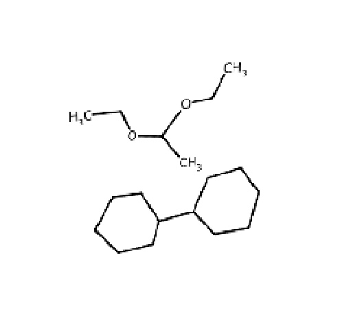 C1CCC(C2CCCCC2)CC1.CCOC(C)OCC